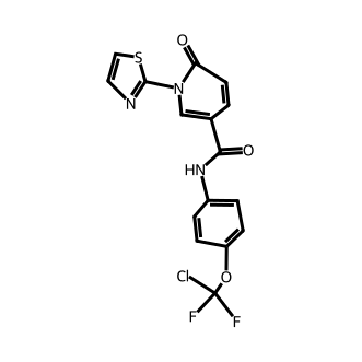 O=C(Nc1ccc(OC(F)(F)Cl)cc1)c1ccc(=O)n(-c2nccs2)c1